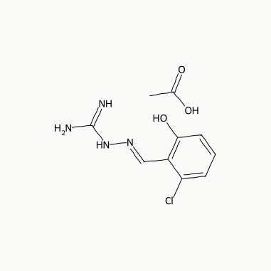 CC(=O)O.N=C(N)N/N=C/c1c(O)cccc1Cl